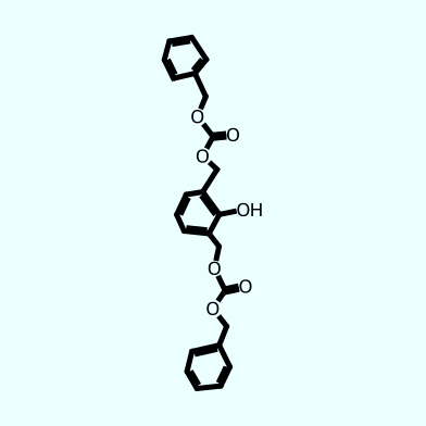 O=C(OCc1ccccc1)OCc1cccc(COC(=O)OCc2ccccc2)c1O